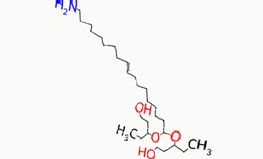 CCC(CCO)OC(CCCCCCCC=CCCCCCCCCN)OC(CC)CCO